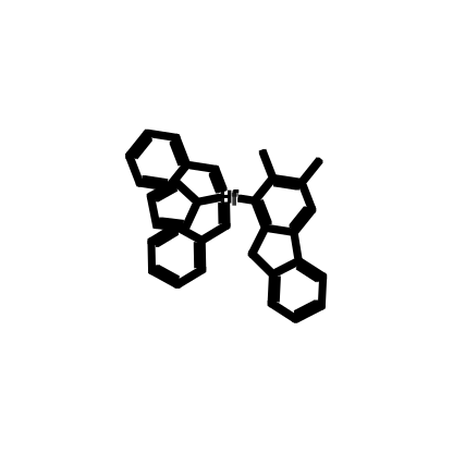 Cc1cc2c([c]([Hf](=[CH]c3ccccc3)(=[CH]c3ccccc3)[CH]3C=CC=C3)c1C)Cc1ccccc1-2